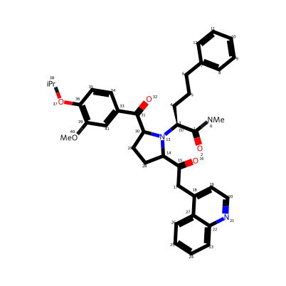 CNC(=O)[C@H](CCCc1ccccc1)N1C(C(=O)Cc2ccnc3ccccc23)CCC1C(=O)c1ccc(OC(C)C)c(OC)c1